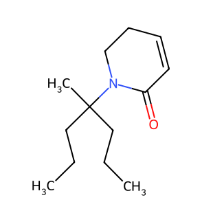 CCCC(C)(CCC)N1CCC=CC1=O